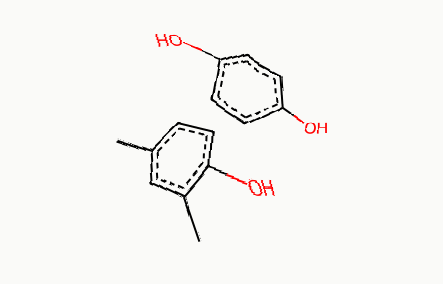 Cc1ccc(O)c(C)c1.Oc1ccc(O)cc1